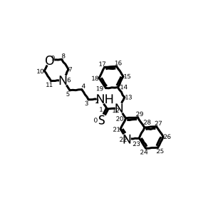 S=C(NCCCN1CCOCC1)N(Cc1ccccc1)c1cnc2ccccc2c1